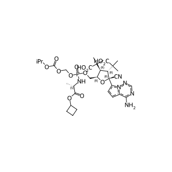 CC(C)OC(=O)OCOP(=O)(N[C@@H](C)C(=O)OC1CCC1)OC[C@@H]1O[C@@](C#N)(c2ccc3c(N)ncnn23)[C@@H](C(C)(C)C(=O)O)[C@@H]1C(C)(C)C(=O)O